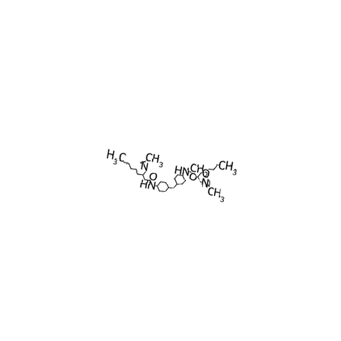 C=C(NC1CCC(CC2CCC(NC(=O)CC(CCCCCC)CN3CC3C)CC2)CC1)OC(COCCCC)CN1CC1C